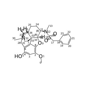 COc1cc(O)c2c3c1O[C@H]1[C@H](N(C)S(=O)(=O)Cc4ccccc4)CC[C@H]4[C@@H](C2)N(C)CC[C@@]341